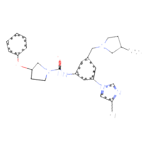 CNC1CCN(Cc2cc(NC(=O)N3CCC(Oc4ccccc4)C3)cc(-n3cnc(C)c3)c2)C1